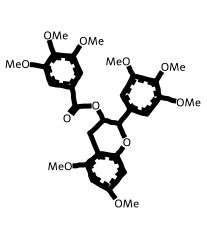 COc1cc(OC)c2c(c1)OC(c1cc(OC)c(OC)c(OC)c1)C(OC(=O)c1cc(OC)c(OC)c(OC)c1)C2